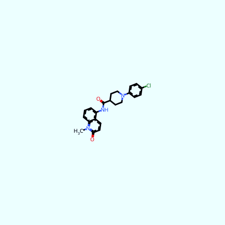 Cn1c(=O)ccc2c(NC(=O)C3CCN(c4ccc(Cl)cc4)CC3)cccc21